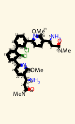 CNC(=O)C[C@H](N)c1ccc(-c2cccc(-c3cccc(-c4ccc([C@@H](N)CC(=O)NC)c(OC)n4)c3Cl)c2Cl)nc1OC